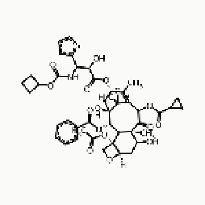 CC(=O)O[C@@]12CO[C@@H]1C[C@H](O)[C@@]1(C)C(=O)[C@H](OC(=O)C3CC3)C3=C(C)[C@@H](OC(=O)[C@H](O)[C@@H](NC(=O)OC4CCC4)c4cccs4)C[C@@](O)([C@@H](OC(=O)c4ccccc4)C12)C3(C)C